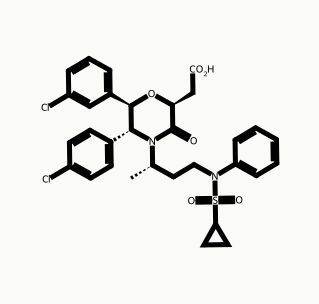 C[C@@H](CCN(c1ccccc1)S(=O)(=O)C1CC1)N1C(=O)[C@H](CC(=O)O)O[C@H](c2cccc(Cl)c2)[C@H]1c1ccc(Cl)cc1